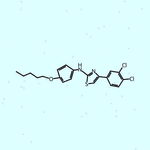 CCCCCOc1ccc(Nc2nc(-c3ccc(Cl)c(Cl)c3)cs2)cc1